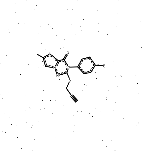 C#CCSc1nn2cc(C)nc2c(=O)n1-c1ccc(F)cc1